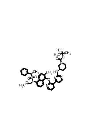 COCN(c1cccc2c(Oc3ncccc3-c3ccnc(N[C@@H]4CCCN(C(=O)OC(C)(C)C)C4)n3)c(C)ccc12)S(=O)(=O)[C@H](C)c1ccccc1